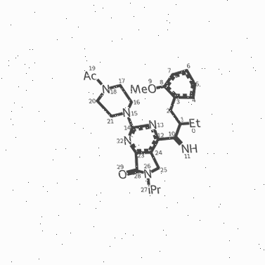 CCC(Cc1ccccc1OC)C(=N)c1nc(N2CCN(C(C)=O)CC2)nc2c1CN(C(C)C)C2=O